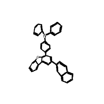 c1ccc(N(c2ccccc2)c2ccc(-c3cc(-c4ccc5ccccc5c4)cc4c3oc3ccccc34)cc2)cc1